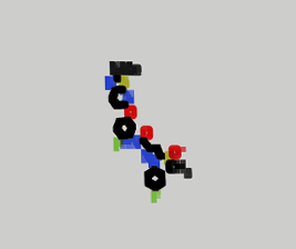 CNc1nc2ccc(Oc3ccc(F)c(NC(=O)c4cc([S+](C)[O-])n(-c5ccc(F)cc5)n4)c3)nc2s1